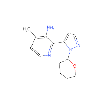 Cc1ccnc(-c2ccnn2C2CCCCO2)c1N